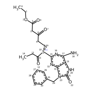 CCOC(=O)CC(=O)C/N=S(\C(=O)CC)c1nc(N)c2[nH]c(=O)n(Cc3ccccc3)c2n1